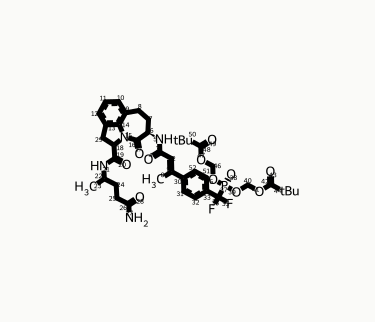 C/C(=C\C(=O)N[C@H]1CCc2cccc3c2N(C1=O)C(C(=O)NC(C)CCC(N)=O)C3)c1ccc(C(F)(F)P(=O)(OCOC(=O)C(C)(C)C)OCOC(=O)C(C)(C)C)cc1